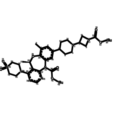 Cc1cc(C2CCN(C3CN(C(=O)OC(C)(C)C)C3)CC2)cc2c1O[C@H](C)c1c(N3CCS(=O)(=O)CC3)ncnc1N2C(=O)OC(C)(C)C